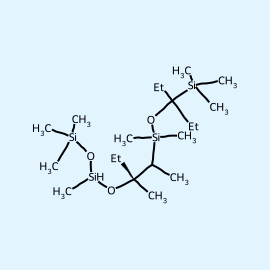 CCC(CC)(O[Si](C)(C)C(C)[C@@](C)(CC)O[SiH](C)O[Si](C)(C)C)[Si](C)(C)C